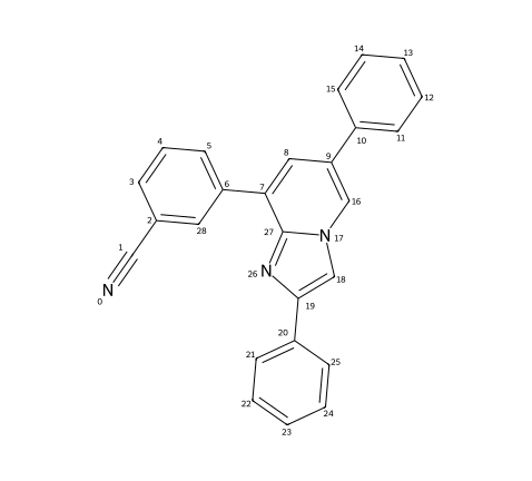 N#Cc1cccc(-c2cc(-c3ccccc3)cn3cc(-c4ccccc4)nc23)c1